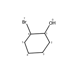 OC1CCCCC1Br